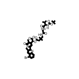 CC(C)C(NC(=O)OC(C)(C)C)C(=O)NCC(=O)NCC(C)(C)CC(=O)O[C@@H]1C(=O)OCc2c1cc1n(c2=O)Cc2cc3c(Br)cccc3nc2-1